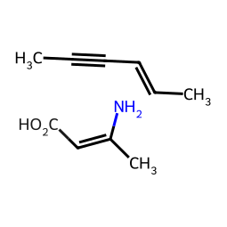 C/C(N)=C/C(=O)O.CC#C/C=C/C